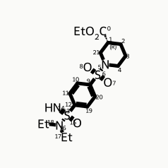 CCOC(=O)[C@@H]1CCCN(S(=O)(=O)c2ccc(S(=N)(=O)N(CC)CC)cc2)C1